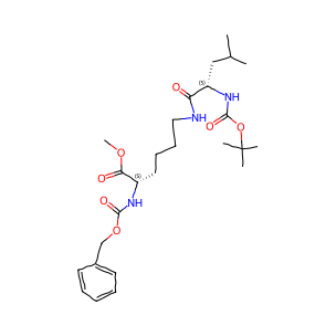 COC(=O)[C@H](CCCCNC(=O)[C@H](CC(C)C)NC(=O)OC(C)(C)C)NC(=O)OCc1ccccc1